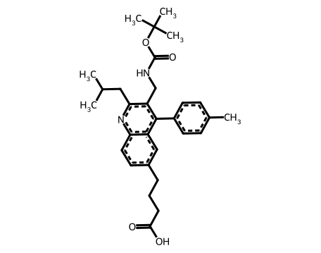 Cc1ccc(-c2c(CNC(=O)OC(C)(C)C)c(CC(C)C)nc3ccc(CCCC(=O)O)cc23)cc1